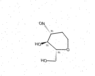 O=N[C@@H]1CCO[C@H](CO)[C@H]1O